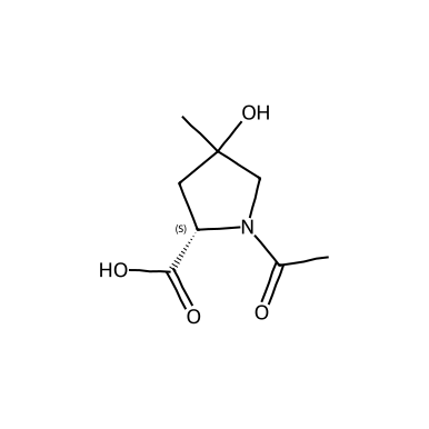 CC(=O)N1CC(C)(O)C[C@H]1C(=O)O